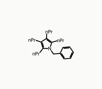 CCCc1c(CCC)c(CCC)n(Cc2ccccc2)c1CCC